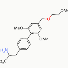 COCCOCc1cc(OC)c(-c2ccc(CC(N)C(=O)O)cc2)c(OC)c1